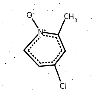 Cc1cc(Cl)cc[n+]1[O-]